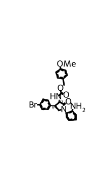 COc1ccc(COC(=O)N[C@@H]2C(=O)N(c3ccccc3N)C[C@H]2c2ccc(Br)cc2)cc1